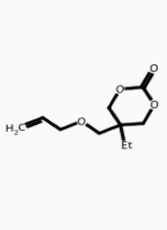 C=CCOCC1(CC)COC(=O)OC1